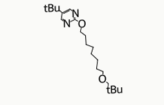 CC(C)(C)COCCCCCCCCOc1ncc(C(C)(C)C)cn1